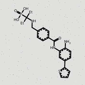 CCC(CC)(NCc1ccc(C(=O)Nc2cc(-c3cccs3)ccc2N)cc1)P(=O)(O)O